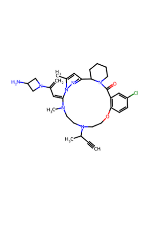 C#CC(C)N1CCOc2ccc(Cl)cc2C(=O)N2CCCCC2c2cc(C)n(n2)/C(=C\C(=C)N2CC(N)C2)N(C)CC1